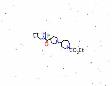 CCOC(=O)N1CCCC(N2CCC(F)(C(=O)NCC3CCC3)CC2)CC1